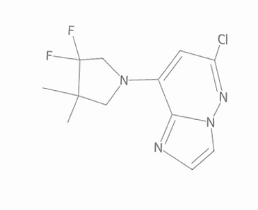 CC1(C)CN(c2cc(Cl)nn3ccnc23)CC1(F)F